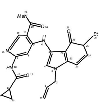 C=CCn1cc(Nc2cc(NC(=O)C3CC3)ncc2C(=O)NC)c2c1C=CC(CC)C2=O